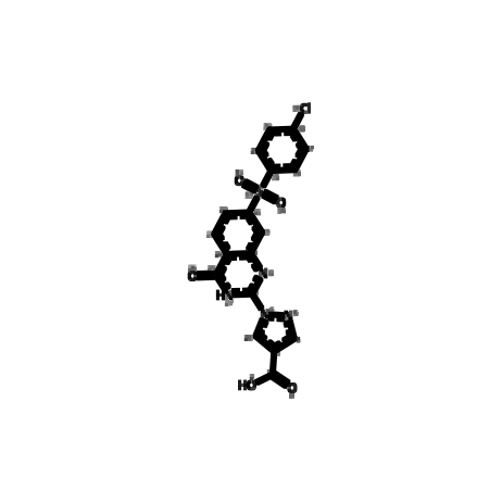 O=C(O)c1cnn(-c2nc3cc(S(=O)(=O)c4ccc(Cl)cc4)ccc3c(=O)[nH]2)c1